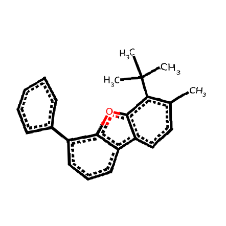 Cc1ccc2c(oc3c(-c4ccccc4)cccc32)c1C(C)(C)C